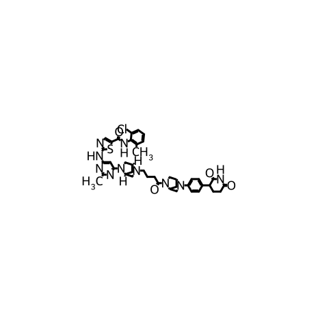 Cc1nc(Nc2ncc(C(=O)Nc3c(C)cccc3Cl)s2)cc(N2C[C@H]3C[C@@H]2CN3CCCC(=O)N2CC3CC2CN3c2ccc(C3CCC(=O)NC3=O)cc2)n1